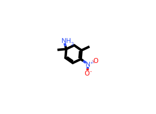 CC1=C([N+](=O)[O-])C=CC(C)(N)C1